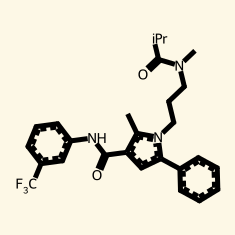 Cc1c(C(=O)Nc2cccc(C(F)(F)F)c2)cc(-c2ccccc2)n1CCCN(C)C(=O)C(C)C